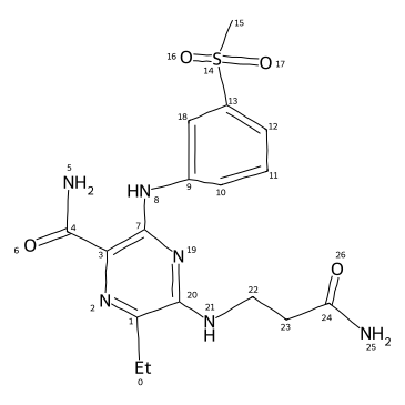 CCc1nc(C(N)=O)c(Nc2cccc(S(C)(=O)=O)c2)nc1NCCC(N)=O